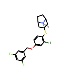 CN1C2CCC1CC(Sc1ccc(OCc3cc(F)cc(F)c3)cc1Cl)C2